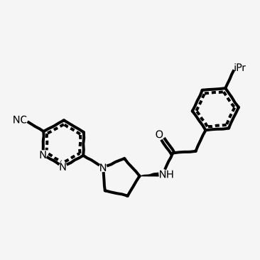 CC(C)c1ccc(CC(=O)N[C@H]2CCN(c3ccc(C#N)nn3)C2)cc1